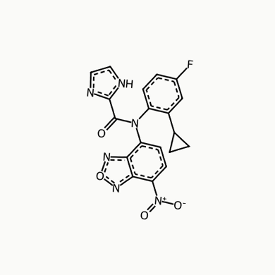 O=C(c1ncc[nH]1)N(c1ccc(F)cc1C1CC1)c1ccc([N+](=O)[O-])c2nonc12